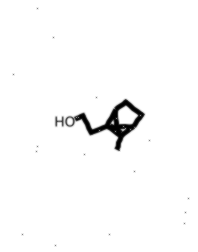 CC1=C(CCO)C2CCC1C2